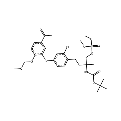 COCOc1ccc(C(C)=O)cc1Sc1ccc(CCC(C)(COP(=O)(OC)OC)NC(=O)OC(C)(C)C)c(Cl)c1